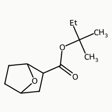 CCC(C)(C)OC(=O)C1CC2CCC1O2